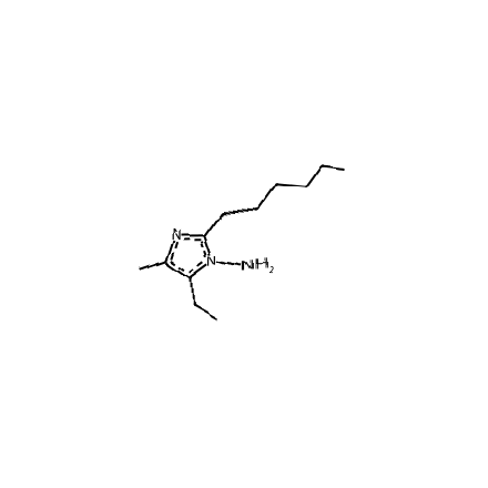 CCCCCCc1nc(C)c(CC)n1N